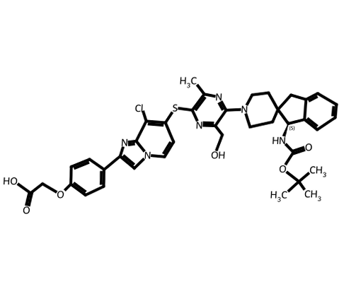 Cc1nc(N2CCC3(CC2)Cc2ccccc2[C@H]3NC(=O)OC(C)(C)C)c(CO)nc1Sc1ccn2cc(-c3ccc(OCC(=O)O)cc3)nc2c1Cl